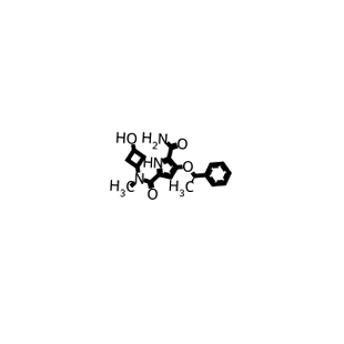 C[C@H](Oc1cc(C(=O)N(C)C2CC(O)C2)[nH]c1C(N)=O)c1ccccc1